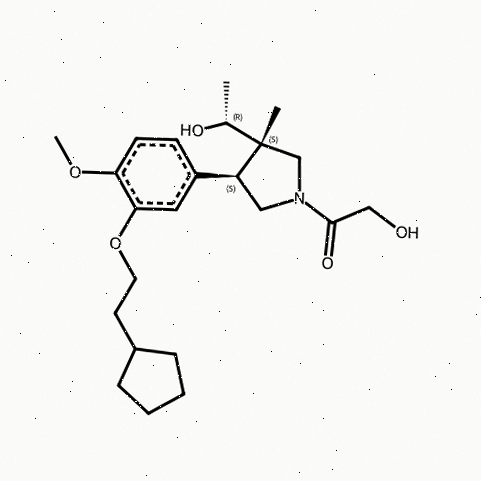 COc1ccc([C@@H]2CN(C(=O)CO)C[C@@]2(C)[C@@H](C)O)cc1OCCC1CCCC1